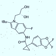 CC(C)(C)c1cc2cc(NC(=O)C3(c4ccc5c(c4)OC(F)(F)O5)CC3)c(F)cc2n1C[C@@H](O)CO